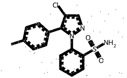 Cc1ccc(-c2c(Cl)cnn2-c2ccccc2S(N)(=O)=O)cc1